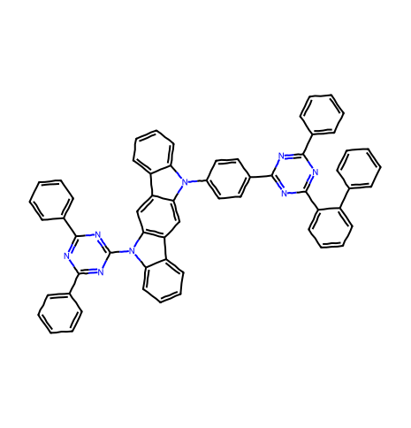 c1ccc(-c2nc(-c3ccc(-n4c5ccccc5c5cc6c(cc54)c4ccccc4n6-c4nc(-c5ccccc5)nc(-c5ccccc5)n4)cc3)nc(-c3ccccc3-c3ccccc3)n2)cc1